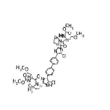 COCC[C@H](NC(=O)OC)C(=O)N1[C@H](C)CC[C@H]1c1nc(-c2ccc(-c3ccc(-c4nc([C@@H]5CC6C[C@H]6N5C(=O)[C@H](CCOC)NC(=O)OC)[nH]c4Cl)cc3)cc2)c(Cl)[nH]1